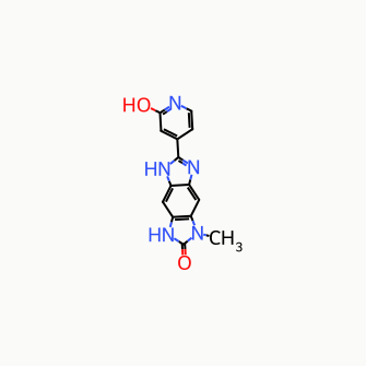 Cn1c(=O)[nH]c2cc3[nH]c(-c4ccnc(O)c4)nc3cc21